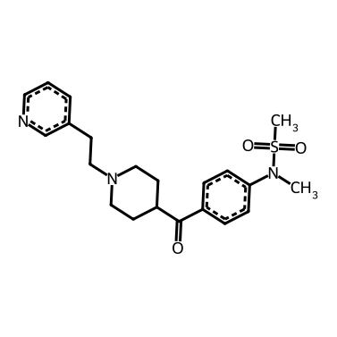 CN(c1ccc(C(=O)C2CCN(CCc3cccnc3)CC2)cc1)S(C)(=O)=O